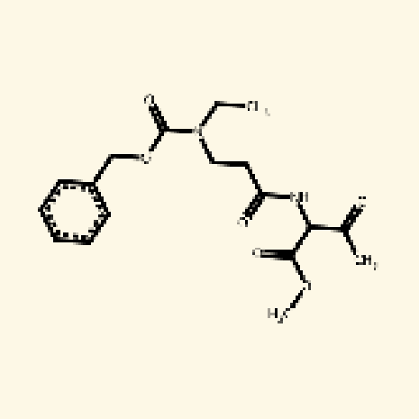 CCN(CCC(=O)NC(C(C)=O)C(=O)OC)C(=O)OCc1ccccc1